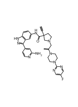 C#CC1(C(=O)Nc2ccc3[nH]nc(-c4ccnc(N)c4)c3c2)CCN(CC(=C)N2CCN(c3ncc(F)cn3)CC2)C1